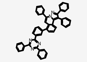 c1ccc(-c2nc(-c3ccccc3)nc(-c3cccc(-c4cccc5c4cc(-c4ccccc4)n4nc(-c6ccccc6)c(-c6ccccc6)c54)c3)n2)cc1